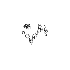 Cc1cc(N2CCN([C@@H]3CN[C@H](C(=O)N4CCSC4)C3)CC2)n(-c2ccc(Cl)cc2)n1.Cl.Cl.Cl